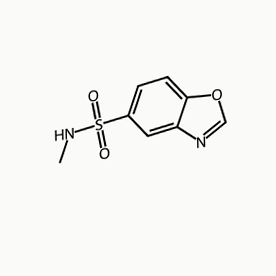 CNS(=O)(=O)c1ccc2ocnc2c1